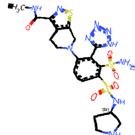 CNC(=O)c1nsc2c1CCN(c1ccc(S(=O)(=O)N[C@@H]3CCNC3)c(S(N)(=O)=O)c1-c1nnn[nH]1)C2